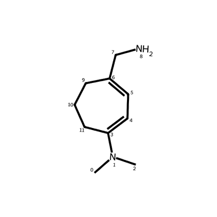 CN(C)C1=CC=C(CN)CCC1